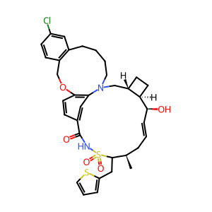 C[C@@H]1C/C=C/[C@H](O)[C@@H]2CC[C@H]2CN2CCCCc3cc(Cl)ccc3COc3ccc(cc32)C(=O)NS(=O)(=O)C1Cc1cccs1